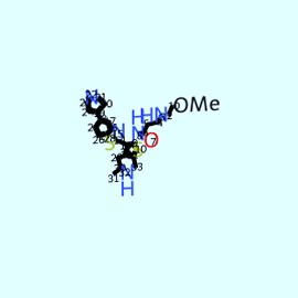 COCCNCCC(=O)Nc1sc2c(c1-c1nc3cc(-c4ccncc4)ccc3s1)CC(C)NC2